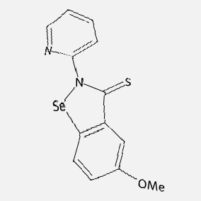 COc1ccc2[se]n(-c3ccccn3)c(=S)c2c1